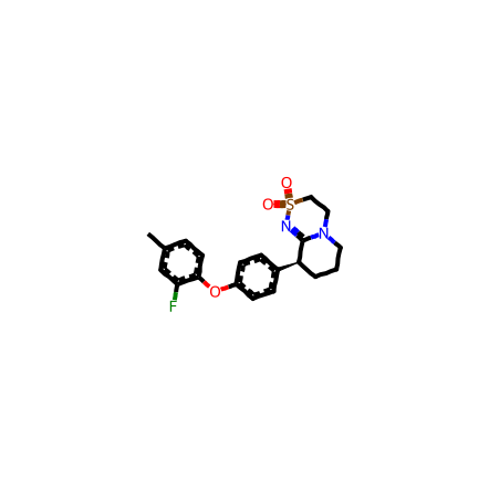 Cc1ccc(Oc2ccc([C@@H]3CCCN4CCS(=O)(=O)N=C34)cc2)c(F)c1